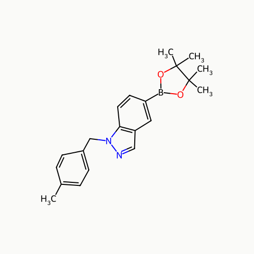 Cc1ccc(Cn2ncc3cc(B4OC(C)(C)C(C)(C)O4)ccc32)cc1